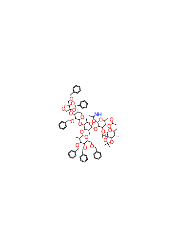 CC(=N)O[C@H]1OC(C)[C@H](OC(C)=O)C(O[C@@H]2OC(C)[C@H](C)C3OC(C)(C)O[C@@H]32)[C@H]1O[C@@H]1OC(C)[C@H](O[C@@H]2OC[C@@H](C)C(OC34COC[C@]3(COCc3ccccc3)O[C@@H](c3ccccc3)O4)[C@H]2OCc2ccccc2)C(O[C@@H]2OC(COCc3ccccc3)[C@@H](OCc3ccccc3)C(OCc3ccccc3)[C@H]2C)[C@@H]1C